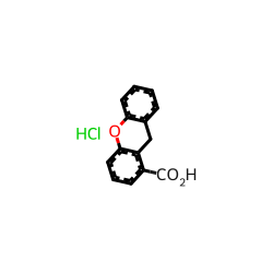 Cl.O=C(O)c1cccc2c1Cc1ccccc1O2